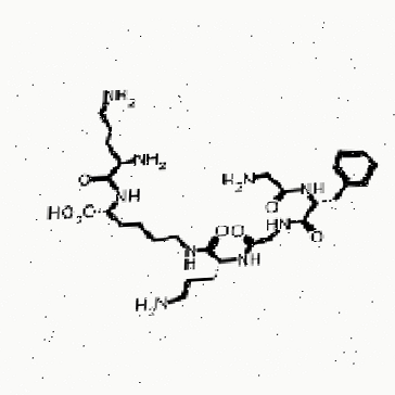 NCCC[C@@H](N)C(=O)N[C@H](CCCCNC(=O)[C@@H](CCCN)NC(=O)CNC(=O)[C@@H](Cc1ccccc1)NC(=O)CN)C(=O)O